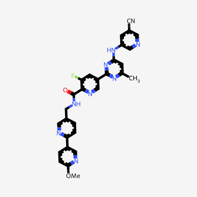 COc1ccc(-c2ccc(CNC(=O)c3ncc(-c4nc(C)cc(Nc5cncc(C#N)c5)n4)cc3F)cn2)cn1